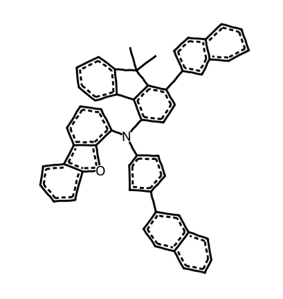 CC1(C)c2ccccc2-c2c(N(c3ccc(-c4ccc5ccccc5c4)cc3)c3cccc4c3oc3ccccc34)ccc(-c3ccc4ccccc4c3)c21